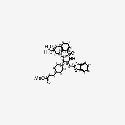 COC(=O)CCC1CCN(C(=O)[C@H](Cc2nc3ccccc3s2)NS(=O)(=O)c2cccc3c2NCC(C)(C)C3)CC1